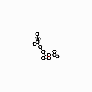 c1ccc(-c2nc3c(cc(-c4ccc(-c5ccc(N(c6ccc(-c7cc8ccccc8c8ccccc78)cc6)c6ccccc6-c6ccccc6)cc5)cc4)c4ccccc43)o2)cc1